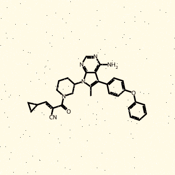 Cc1c(-c2ccc(Oc3ccccc3)cc2)c2c(N)ncnc2n1C1CCCN(C(=O)C(C#N)=CC2CC2)C1